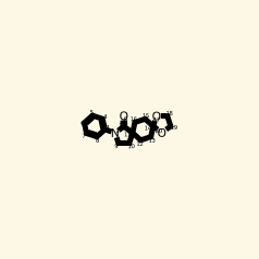 O=C1N(c2ccccc2)CCC12CCC1(CC2)OCCO1